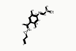 C=CCON=C(C)c1cc(C)c(N=CN(C)CC)cc1C